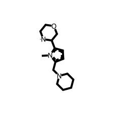 Cn1c(CN2CCCCC2)ccc1C1COCC[N]1